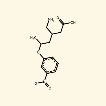 CC(CC(CN)CC(=O)O)Oc1cccc([N+](=O)[O-])c1